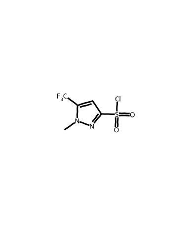 Cn1nc(S(=O)(=O)Cl)cc1C(F)(F)F